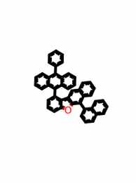 c1ccc(-c2c3ccccc3c(-c3cccc4oc5c(-c6cccc7ccccc67)c6ccccc6cc5c34)c3ccccc23)cc1